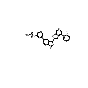 CC(C)(C)C(=O)Nc1cncc(-c2ccc3[nH]nc(-c4cc5c(-c6ccccc6F)cncc5[nH]4)c3c2)c1